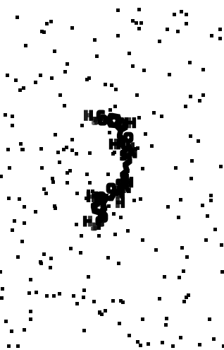 COc1ccc2[nH]cc(CC(=O)Nc3nnc(CCCCc4nnc(NC(=O)Cc5c[nH]c6ccc(OC)cc56)s4)s3)c2c1